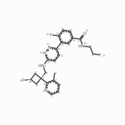 Cc1cccnc1[C@]1(CNc2ccc(-c3cc(C(=O)NCCF)ccc3F)nn2)C[C@@H](F)C1